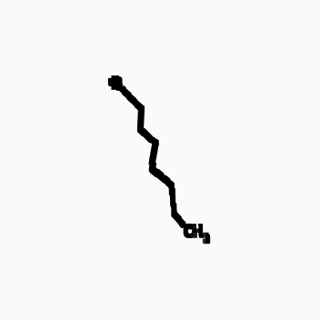 [B]CCCCCCC